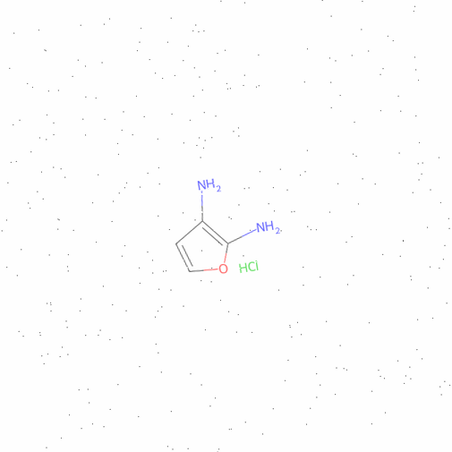 Cl.Nc1ccoc1N